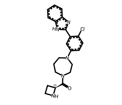 O=C([C@@H]1CCN1)N1CCCN(c2ccc(Cl)c(-c3nc4ccccc4[nH]3)c2)CC1